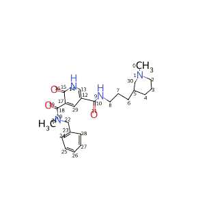 CN1CCCC(CCCNC(=O)c2c[nH]c(=O)c(C(=O)N(C)Cc3ccccc3)c2)C1